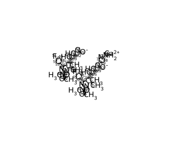 CC(C)c1nc(N(C)S(C)(=O)=O)nc(-c2ccc(F)cc2)c1C=C[C@@H](O)C[C@@H](O)CC(=O)[O-].CC(C)c1nc(N(C)S(C)(=O)=O)nc(-c2ccc(F)cc2)c1C=C[C@@H](O)C[C@@H](O)CC(=O)[O-].Nc1ccccn1.[Ca+2]